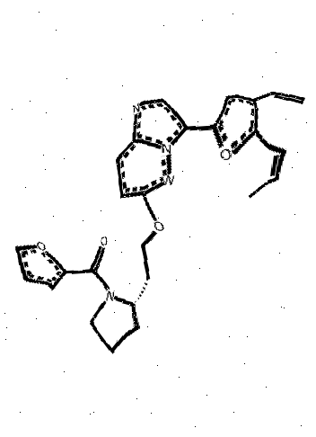 C=Cc1cc(-c2cnc3ccc(OCC[C@@H]4CCCN4C(=O)c4ccco4)nn23)oc1/C=C\C